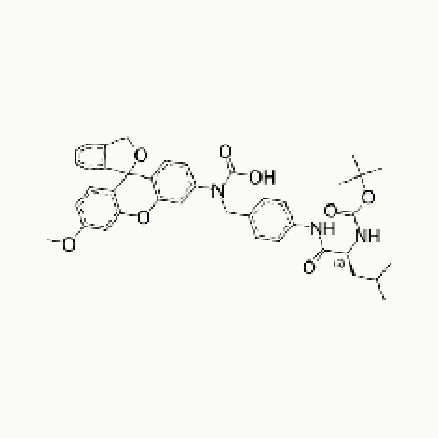 COc1ccc2c(c1)Oc1cc(N(Cc3ccc(NC(=O)[C@H](CC(C)C)NC(=O)OC(C)(C)C)cc3)C(=O)O)ccc1C21OCc2ccccc21